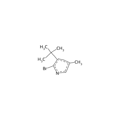 Cc1cnc(Br)c(C(C)(C)C)c1